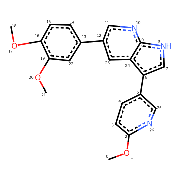 COc1ccc(-c2c[nH]c3ncc(-c4ccc(OC)c(OC)c4)cc23)cn1